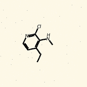 CCc1ccnc(Cl)c1NC